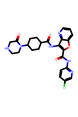 O=C(Nc1ccc(Cl)cn1)c1oc2cccnc2c1NC(=O)C1CCC(N2CCNCC2=O)CC1